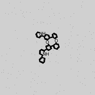 C1=CCNC(c2ccc3c(c2)Oc2cc(C4=CC=CC(c5ccccc5)N4)ccc2-c2ccccc2Oc2ccccc2-3)=C1